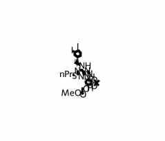 CCCSc1nc(N[C@@H]2C[C@H]2c2ccc(I)c(I)c2)c2nnn([C@@H]3C[C@H](OCC(=O)OC)[C@H]4OC(C)(C)O[C@H]43)c2n1